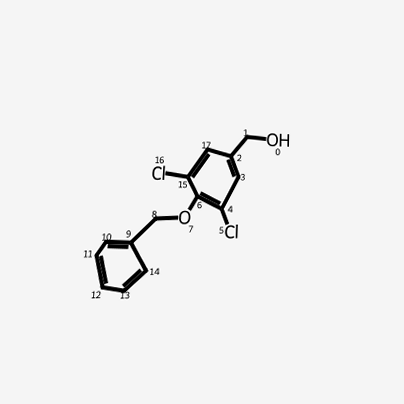 OCc1cc(Cl)c(OCc2ccccc2)c(Cl)c1